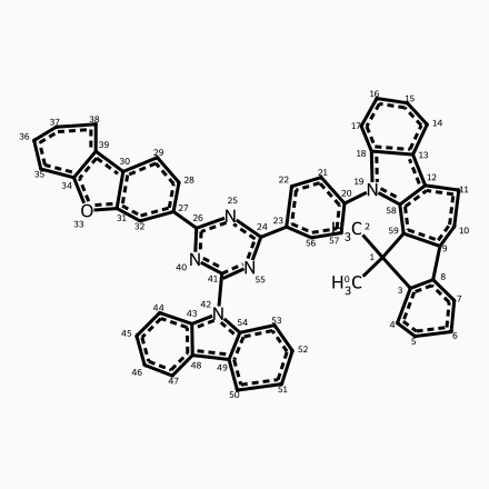 CC1(C)c2ccccc2-c2ccc3c4ccccc4n(-c4ccc(-c5nc(-c6ccc7c(c6)oc6ccccc67)nc(-n6c7ccccc7c7ccccc76)n5)cc4)c3c21